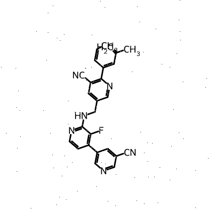 C=C(C)/C=C(\C=C/C)c1ncc(CNc2nccc(-c3cncc(C#N)c3)c2F)cc1C#N